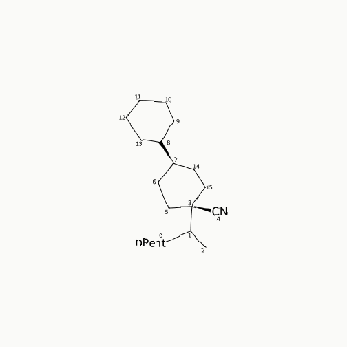 CCCCCC(C)[C@]1(C#N)CC[C@@H](C2CCCCC2)CC1